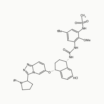 COc1c(NC(=O)N[C@H]2CC[C@@H](Oc3ccc4nnc(C5CCCN5C(C)C)n4c3)c3ccccc32)cc(C(C)(C)C)cc1NS(C)(=O)=O.Cl